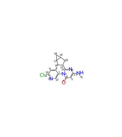 CNc1cc(=O)n(-c2ccc(Cl)nc2)c(C2CC3CC3C2)n1